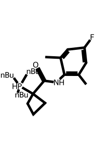 CCCC[PH](CCCC)(CCCC)C1(C(=O)Nc2c(C)cc(F)cc2C)CCC1